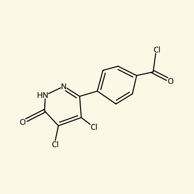 O=C(Cl)c1ccc(-c2n[nH]c(=O)c(Cl)c2Cl)cc1